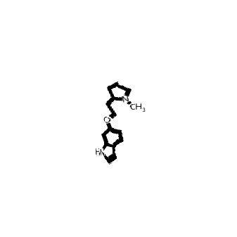 CN1CCCC1CCOc1ccc2cc[nH]c2c1